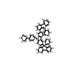 C1=CC(c2ccc(-n3c4ccc(C5(c6ccccc6)c6ccccc6-c6ccccc65)cc4c4ccc(-c5cccc6c7ccccc7n(C7=CCCC=C7)c56)cc43)cc2)=CCC1